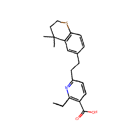 CCc1nc(CCc2ccc3c(c2)C(C)(C)CCS3)ccc1C(=O)O